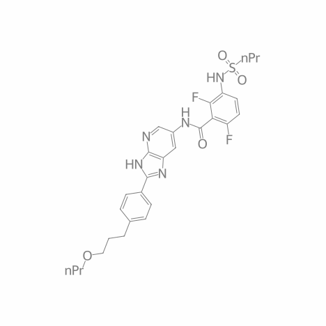 CCCOCCCc1ccc(-c2nc3cc(NC(=O)c4c(F)ccc(NS(=O)(=O)CCC)c4F)cnc3[nH]2)cc1